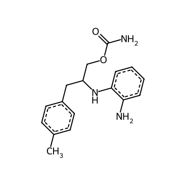 Cc1ccc(CC(COC(N)=O)Nc2ccccc2N)cc1